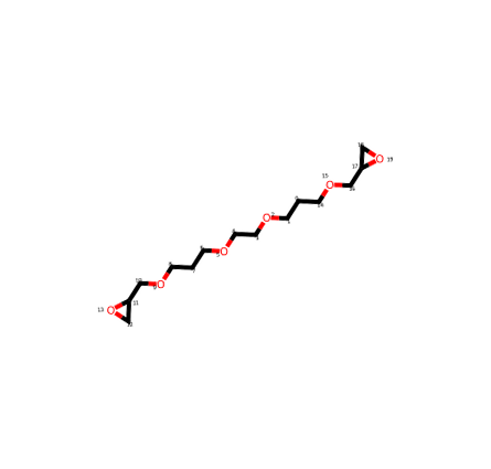 C(COCCOCCCOCC1CO1)COCC1CO1